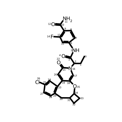 CCC(C(=O)Nc1ccc(C(N)=O)c(F)c1)n1cc2c(cc1=O)-c1cc(Cl)ccc1CC1CCC1O2